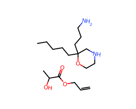 C=CCOC(=O)C(C)O.CCCCCC1(CCCN)CNCCO1